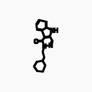 O=c1c2c(cnn1CCC1CCCCC1)[nH]c1ccccc12